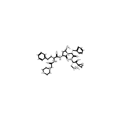 CC(C)C[C@H](NC(=O)[C@@H](Cc1ccccc1)N1C(=O)[C@@H](NC(=O)[C@H](CCc2ccccc2)NC(=O)CN2CCOCC2)CC1C)C(=O)[C@]1(C)CO1